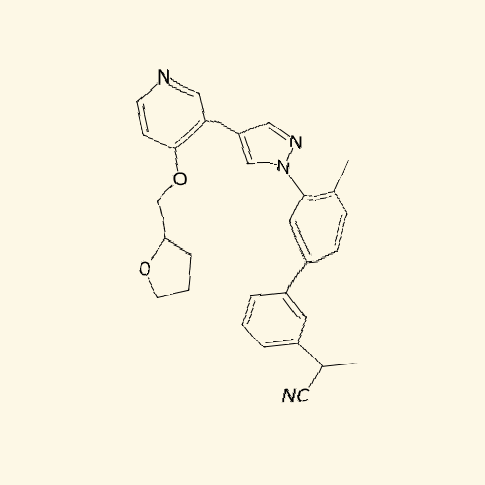 Cc1ccc(-c2cccc(C(C)C#N)c2)cc1-n1cc(-c2cnccc2OCC2CCCO2)cn1